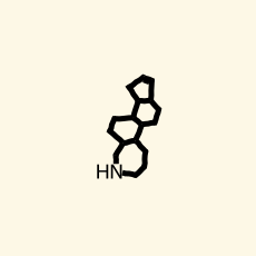 C1=CC2CCC3C4CCCNCC4CCC3C2C1